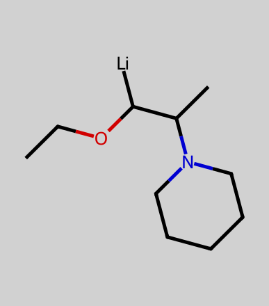 [Li][CH](OCC)C(C)N1CCCCC1